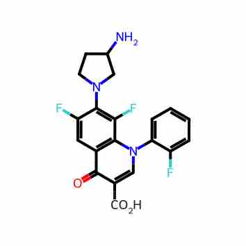 NC1CCN(c2c(F)cc3c(=O)c(C(=O)O)cn(-c4ccccc4F)c3c2F)C1